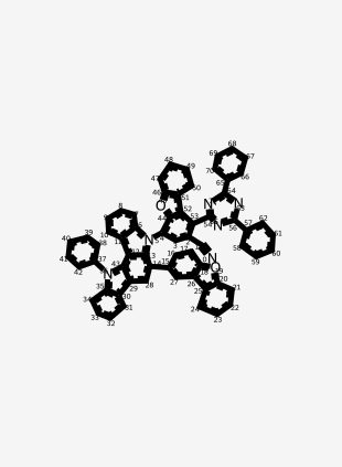 N#Cc1cc(-n2c3ccccc3c3c2c(-c2ccc4oc5ccccc5c4c2)cc2c4ccccc4n(-c4ccccc4)c23)c2oc3ccccc3c2c1-c1nc(-c2ccccc2)nc(-c2ccccc2)n1